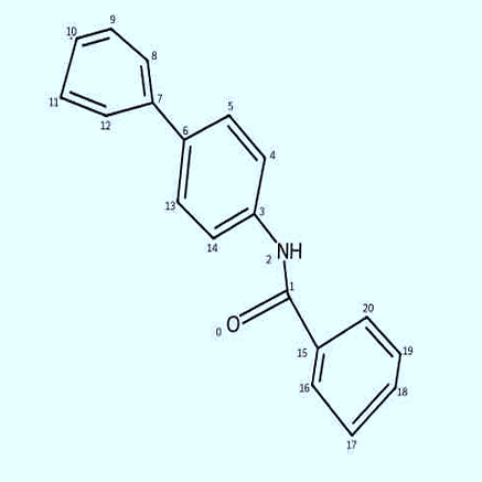 O=C(Nc1ccc(-c2cc[c]cc2)cc1)c1ccccc1